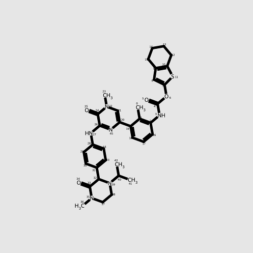 Cc1c(NC(=O)Oc2cc3c(s2)CCCC3)cccc1-c1cn(C)c(=O)c(Nc2ccc(C3C(=O)N(C)CCN3C(C)C)cc2)n1